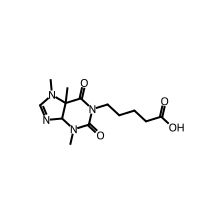 CN1C(=O)N(CCCCC(=O)O)C(=O)C2(C)C1N=CN2C